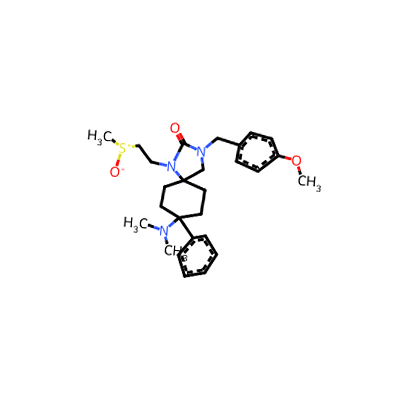 COc1ccc(CN2CC3(CCC(c4ccccc4)(N(C)C)CC3)N(CC[S+](C)[O-])C2=O)cc1